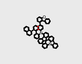 c1ccc(-c2cccc3ccccc23)c(-c2ccccc2N(c2ccc(-c3cccc4oc5ccccc5c34)cc2)c2cccc3c2-c2ccccc2C32c3ccccc3-n3c4ccccc4c4cccc2c43)c1